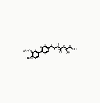 COc1cc(-c2ccc(CCNC(=O)CC(O)CO)cc2)ccc1O